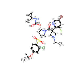 C[C@H](Oc1ccc(S(=O)(=O)[C@@H]2C[C@H](OC(=O)NC3(C#N)CC3)N(C(=O)C3(c4ncc(Br)cc4F)CN(CC(F)(F)F)C3)C2)c(Cl)c1)C(F)(F)F